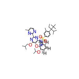 [2H]c1c([2H])c([2H])c(OC(C)C)c(Oc2c(NS(=O)(=O)c3ccc(C(CC)(C(C)C)C(C)(C)C)c(C)c3)nc(-c3nccc(C)n3)nc2OCC(C)C)c1[2H]